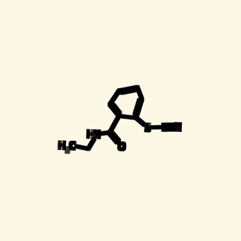 CCNC(=O)c1ccccc1SC#N